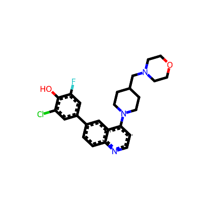 Oc1c(F)cc(-c2ccc3nc[c]c(N4CCC(CN5CCOCC5)CC4)c3c2)cc1Cl